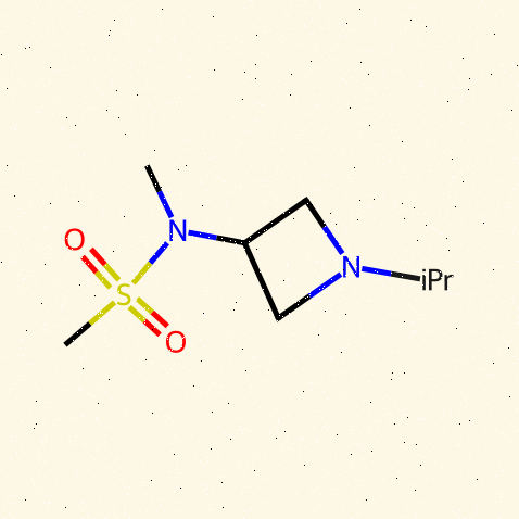 CC(C)N1CC(N(C)S(C)(=O)=O)C1